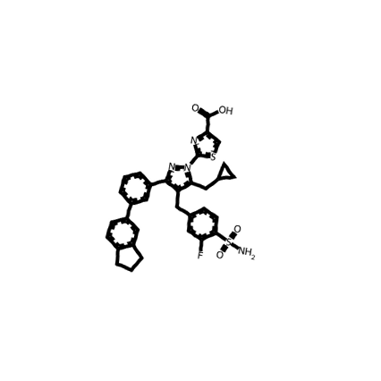 NS(=O)(=O)c1ccc(Cc2c(-c3cccc(-c4ccc5c(c4)CCC5)c3)nn(-c3nc(C(=O)O)cs3)c2CC2CC2)cc1F